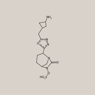 NC1CC(Cc2nnc(C3CCC4CN3C(=O)N4OS(=O)(=O)O)o2)C1